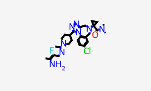 C/C(N)=C(F)/C=N\C(C)N1CCC(c2nnc3n2-c2ccc(Cl)cc2CN(C2(C(=O)N(C)C)CC2)C3)CC1